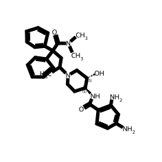 CC(CC(C(=O)N(C)C)(c1ccccc1)c1ccccc1)N1CC[C@H](NC(=O)c2ccc(N)cc2N)[C@@H](O)C1